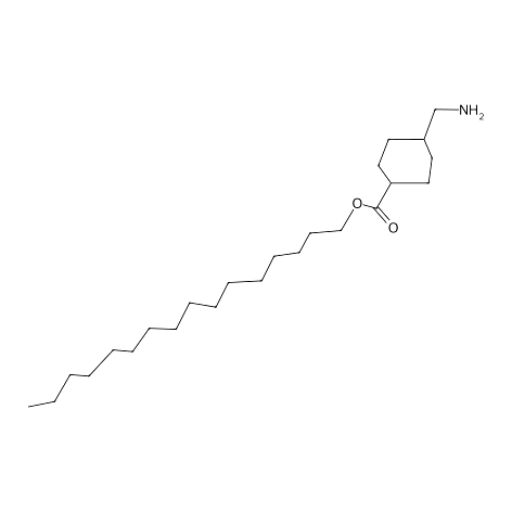 CCCCCCCCCCCCCCCCOC(=O)C1CCC(CN)CC1